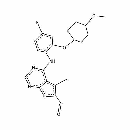 COC1CCC(Oc2cc(F)ccc2Nc2ncnc3sc([C]=O)c(C)c23)CC1